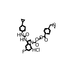 CN(C)Cc1ccc(C(=O)OCOC(=O)n2cc(NC(=O)Nc3ccc(C4CC4)cc3)c3cc(F)ccc32)cc1.Cl